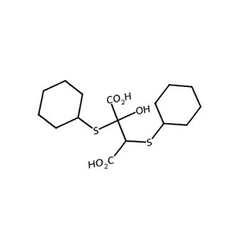 O=C(O)C(SC1CCCCC1)C(O)(SC1CCCCC1)C(=O)O